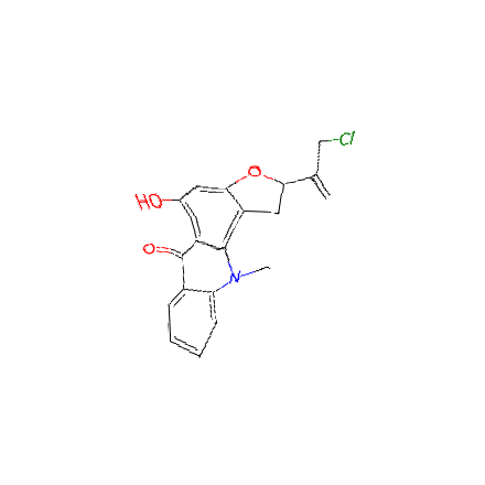 C=C(CCl)C1Cc2c(cc(O)c3c(=O)c4ccccc4n(C)c23)O1